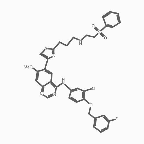 COc1cc2ncnc(Nc3ccc(OCc4cccc(F)c4)c(Cl)c3)c2cc1-c1csc(CCCNCCS(=O)(=O)c2ccccc2)n1